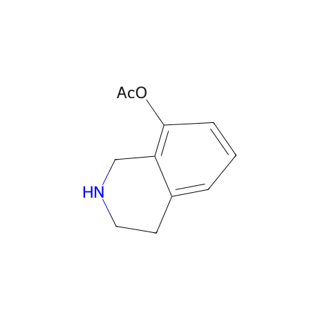 CC(=O)Oc1cccc2c1CNCC2